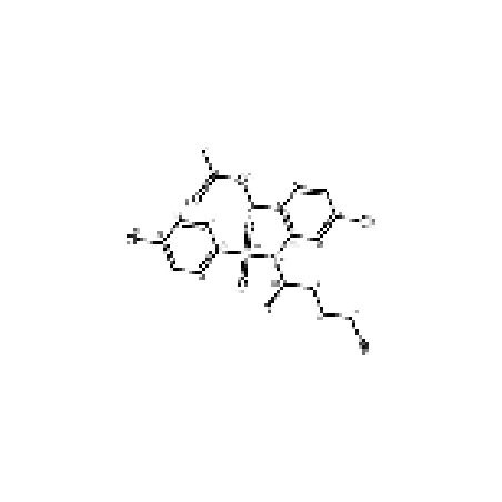 CC(=O)OCc1ccc(Cl)cc1N([C@H](C)CCCBr)S(=O)(=O)c1ccc(Cl)cc1